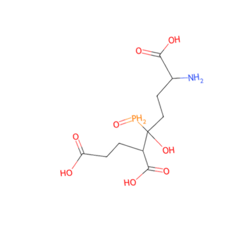 NC(CCC(O)([PH2]=O)C(CCC(=O)O)C(=O)O)C(=O)O